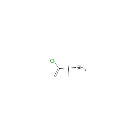 C=C(Cl)C(C)(C)[SiH3]